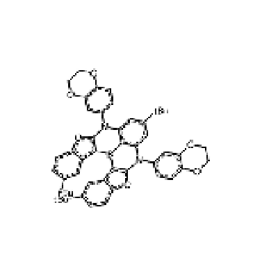 CC(C)(C)c1cc2c3c(c1)N(c1ccc4c(c1)OCCO4)c1oc4ccc(C(C)(C)C)cc4c1B3c1c(oc3ccc(C(C)(C)C)cc13)N2c1ccc2c(c1)OCCO2